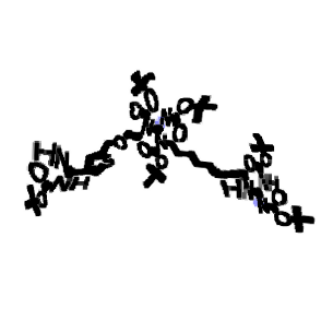 CC(C)(C)OC(=O)/N=C(/NCCCCCCCN(C(=O)OC(C)(C)C)/C(=N\C(=O)OC(C)(C)C)N(CCOCc1cc(C(=N)NC(=O)OC(C)(C)C)cs1)C(=O)OC(C)(C)C)NC(=O)OC(C)(C)C